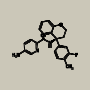 Cc1ccc([C@@]2(NC(=O)c3ccc(N)cn3)CCOc3cccnc32)cc1F